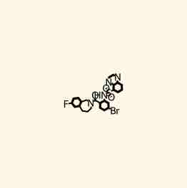 O=C(c1ccc(Br)cc1NS(=O)(=O)c1cccc2nccnc12)N1CCCc2cc(F)ccc2C1